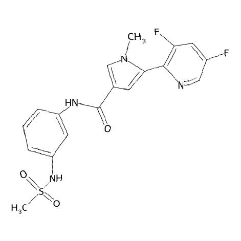 Cn1cc(C(=O)Nc2cccc(NS(C)(=O)=O)c2)cc1-c1ncc(F)cc1F